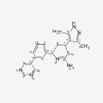 Cc1n[nH]c(C)c1C1CC(c2cccc(-c3cncnc3)c2)N=C(N)S1